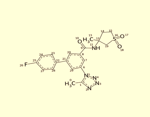 Cc1nnnn1-c1cc(C(=O)NC2(C)CCS(=O)(=O)C2)cc(-c2ccc(F)cc2)c1